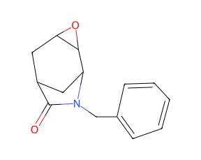 O=C1C2CC3OC3C(C2)N1Cc1ccccc1